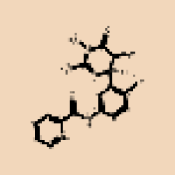 CN1C(=O)C(O)[C@@](C)(c2cc(NC(=O)c3ccccn3)ccc2F)N=C1N